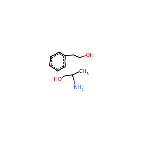 CC(N)CO.OCCc1ccccc1